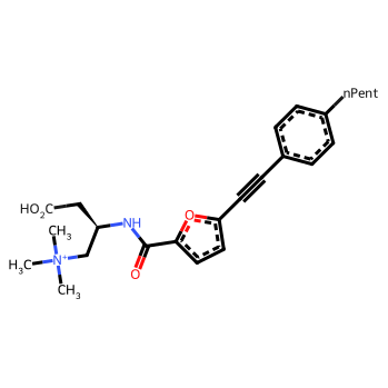 CCCCCc1ccc(C#Cc2ccc(C(=O)N[C@H](CC(=O)O)C[N+](C)(C)C)o2)cc1